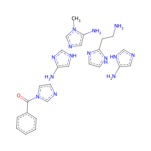 Cn1cncc1N.NCCc1ncc[nH]1.Nc1c[nH]cn1.Nc1cnc[nH]1.O=C(c1ccccc1)n1ccnc1